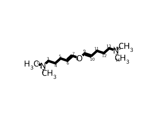 CN(C)CCCC=COC=CCCCN(C)C